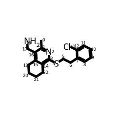 Cc1nc(SCCc2ccccc2Cl)c2c(c1CN)CCCC2